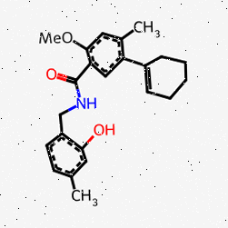 COc1cc(C)c(C2=CCCCC2)cc1C(=O)NCc1ccc(C)cc1O